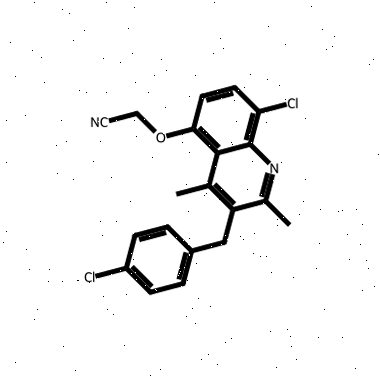 Cc1nc2c(Cl)ccc(OCC#N)c2c(C)c1Cc1ccc(Cl)cc1